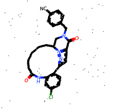 N#Cc1ccc(CN2CC3CCCCCC(=O)Nc4cc(Cl)ccc4-c4cc(n3n4)C2=O)cc1